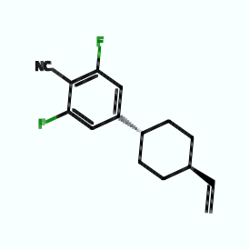 C=C[C@H]1CC[C@H](c2cc(F)c(C#N)c(F)c2)CC1